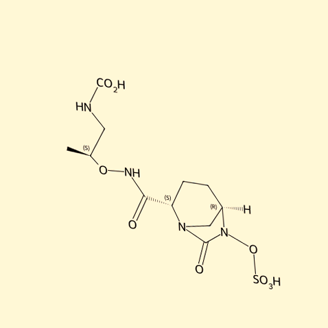 C[C@@H](CNC(=O)O)ONC(=O)[C@@H]1CC[C@@H]2CN1C(=O)N2OS(=O)(=O)O